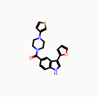 O=C(c1ccc2[nH]cc(-c3ccco3)c2c1)N1CCN(c2ccsc2)CC1